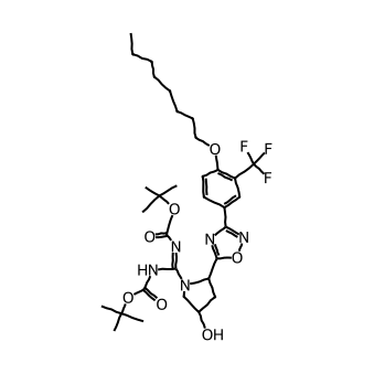 CCCCCCCCOc1ccc(-c2noc(C3CC(O)CN3/C(=N/C(=O)OC(C)(C)C)NC(=O)OC(C)(C)C)n2)cc1C(F)(F)F